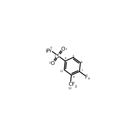 CC(C)S(=O)(=O)c1ccc(F)c(C(F)(F)F)c1